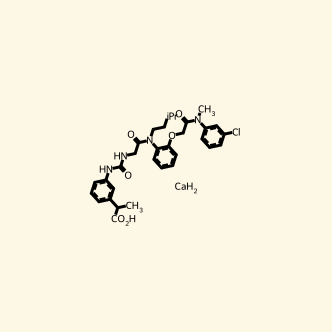 CC(C)CCN(C(=O)CNC(=O)Nc1cccc(C(C)C(=O)O)c1)c1ccccc1OCC(=O)N(C)c1cccc(Cl)c1.[CaH2]